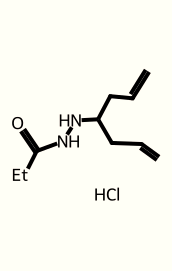 C=CCC(CC=C)NNC(=O)CC.Cl